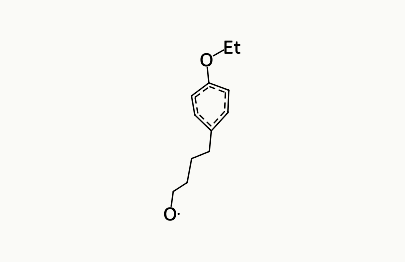 CCOc1ccc(CCCC[O])cc1